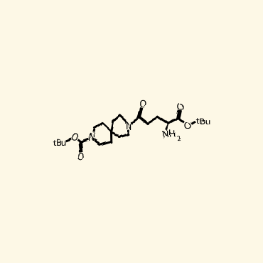 CC(C)(C)OC(=O)[C@@H](N)CCC(=O)N1CCC2(CC1)CCN(C(=O)OC(C)(C)C)CC2